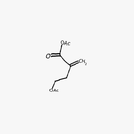 C=C(CCOC(C)=O)C(=O)OC(C)=O